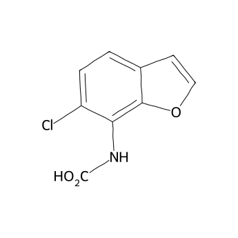 O=C(O)Nc1c(Cl)ccc2ccoc12